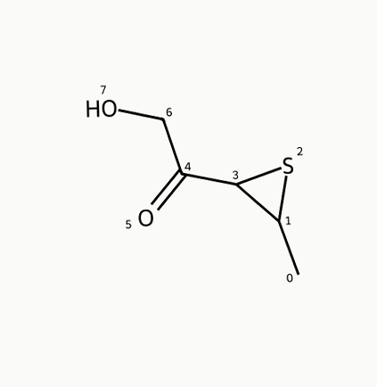 CC1SC1C(=O)CO